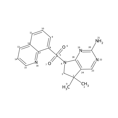 CC1(C)CN(S(=O)(=O)c2cccc3cccnc23)c2nc(N)ncc21